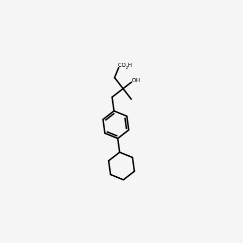 CC(O)(CC(=O)O)Cc1ccc(C2CCCCC2)cc1